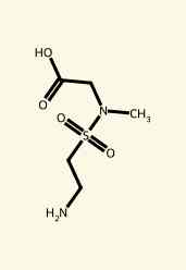 CN(CC(=O)O)S(=O)(=O)CCN